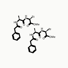 CC[C@H](NC(=O)[C@H](C)NC(=O)Cc1ccccc1)C(=O)OC.COC(=O)[C@@H](NC(=O)[C@H](C)NC(=O)Cc1ccccc1)C(C)C